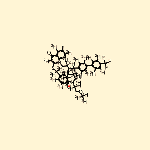 [2H]c1c([2H])c(F)c(F)c(C([2H])([2H])Sc2c([2H])c(=O)c3c([2H])c(C)c([2H])c([2H])c3n2CC(=O)N(C([2H])([2H])c2c([2H])c([2H])c(-c3c([2H])c([2H])c(C(F)(F)F)c([2H])c3[2H])c([2H])c2[2H])C2([2H])C([2H])([2H])C([2H])([2H])N(C([2H])([2H])COC([2H])([2H])[2H])C([2H])([2H])C2([2H])[2H])c1[2H]